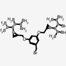 BB(B)B(B)B(B(B)B)B1C=C1COc1cc(CBr)cc(OCC2=CB2B(B(B)B)B(B)B(B)B)c1